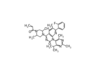 C=CC(=O)N1CC(C)N(c2nc(=O)n(-c3c(C)nc(C)nc3C(C)C)c3nc(-c4ccccc4F)c(C)cc23)CC1C